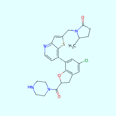 CC1CCC(=O)N1Cc1cc2nccc(-c3cc(Cl)cc4c3OC(C(=O)N3CCNCC3)C4)c2s1